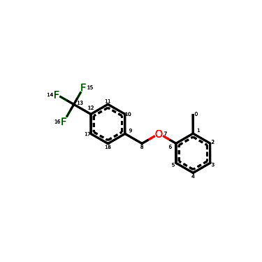 Cc1ccccc1OCc1ccc(C(F)(F)F)cc1